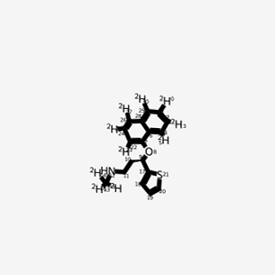 [2H]c1c([2H])c([2H])c2c(O[C@H](CCNC([2H])([2H])[2H])c3cccs3)c([2H])c([2H])c([2H])c2c1[2H]